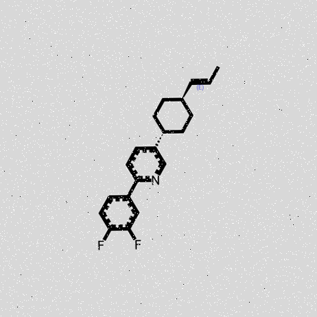 C/C=C/[C@H]1CC[C@H](c2ccc(-c3ccc(F)c(F)c3)nc2)CC1